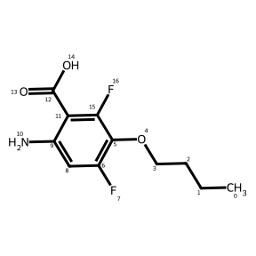 CCCCOc1c(F)cc(N)c(C(=O)O)c1F